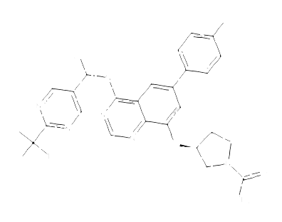 CC(=O)N1CC[C@H](Oc2cc(-c3ccc(F)cc3)cc3c(NC(C)c4cnc(C(F)(F)F)nc4)ncnc23)C1